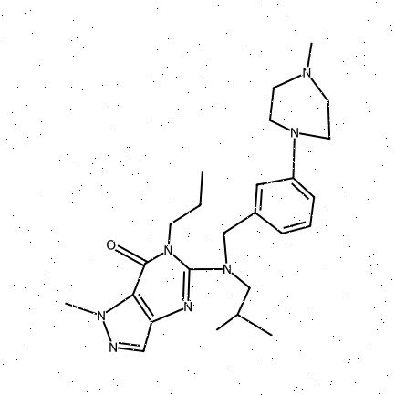 CCCn1c(N(Cc2cccc(N3CCN(C)CC3)c2)CC(C)C)nc2cnn(C)c2c1=O